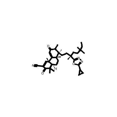 CCC(C)(C)CC[C@@](C)(CC[C@]1(C)C(C)C(=O)C=C2[C@@]3(C)C=C(C#N)C(=O)C(C)(C)[C@@H]3CC[C@]21C)c1nnc(C2CC2)o1